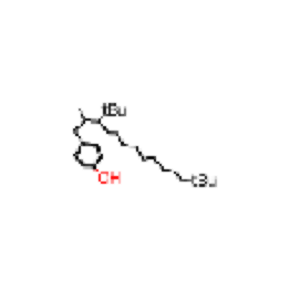 CC(Cc1ccc(O)cc1)C(CCCCCCCCCC(C)(C)C)C(C)(C)C